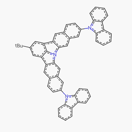 CC(C)(C)c1cc2c3cc4ccc(-n5c6ccccc6c6ccccc65)cc4cc3n3c4cc5cc(-n6c7ccccc7c7ccccc76)ccc5cc4c(c1)c23